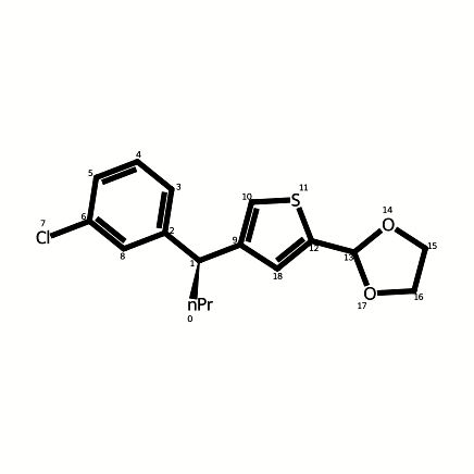 CCC[C@@H](c1cccc(Cl)c1)c1csc(C2OCCO2)c1